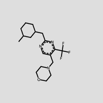 CC1CCCC(Cc2ncc(CN3CCOCC3)c(C(F)(F)F)n2)C1